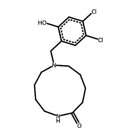 O=C1CCCCN(Cc2cc(Cl)c(Cl)cc2O)CCCCN1